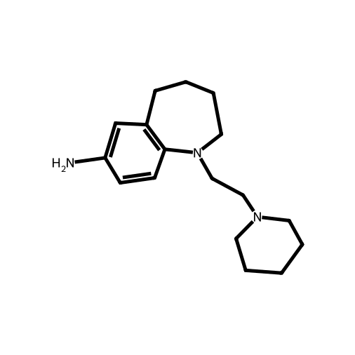 Nc1ccc2c(c1)CCCCN2CCN1CCCCC1